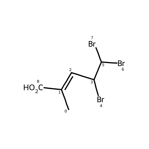 CC(=CC(Br)C(Br)Br)C(=O)O